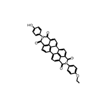 CCOc1ccc(N2C(=O)c3ccc4c5ccc6c7c(ccc(c8ccc(c3c48)C2=O)c75)C(=O)N(c2ccc(O)cc2)C6=O)cc1